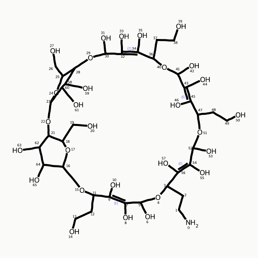 NCCC1OC(O)/C(O)=C(\O)C(CCO)OC2OC(CO)C(OC3OC(CO)C(OC(O)/C(O)=C(/O)C(CCO)OC(O)/C(O)=C(\O)C(CCO)OC(O)/C(O)=C/1O)C(O)C3O)C(O)C2O